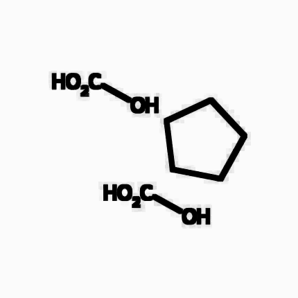 C1CCCC1.O=C(O)O.O=C(O)O